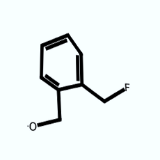 [O]Cc1ccccc1CF